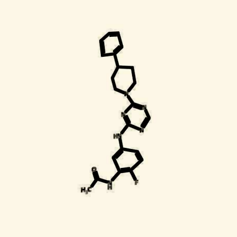 CC(=O)Nc1cc(Nc2ncnc(N3CCC(c4ccccc4)CC3)n2)ccc1F